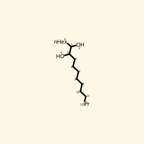 CCCCCCC(O)C(O)CCCCCCCC(C)C